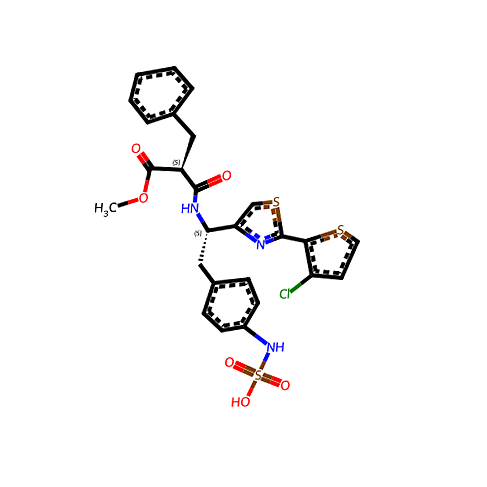 COC(=O)[C@@H](Cc1ccccc1)C(=O)N[C@@H](Cc1ccc(NS(=O)(=O)O)cc1)c1csc(-c2sccc2Cl)n1